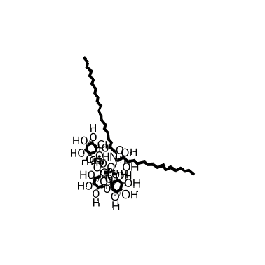 CCCCCCCCCCCCCCCCCCCCC(O)C(=O)N[C@@H](COP(=O)(O)O[C@H]1C(O)C(O)C(O)[C@@H](O)C1O[C@H]1O[C@H](COP(=O)(O)OC2C(O)C(O)C(O)[C@@H](O)C2O)[C@@H](O)C(O)C1O)[C@H](O)[C@H](O)CCCCCCCCCCCCCC